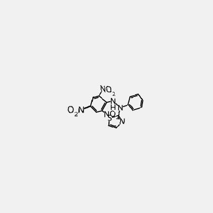 O=[N+]([O-])c1cc([N+](=O)[O-])c(NN(c2ccccc2)c2nccs2)c([N+](=O)[O-])c1